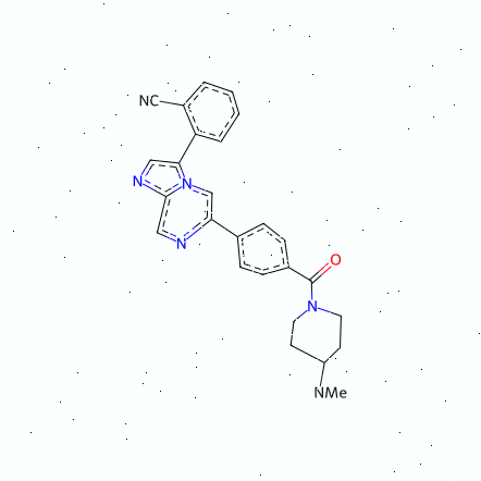 CNC1CCN(C(=O)c2ccc(-c3cn4c(-c5ccccc5C#N)cnc4cn3)cc2)CC1